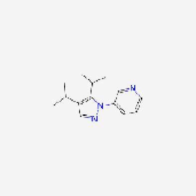 CC(C)c1cnn(-c2cccnc2)c1C(C)C